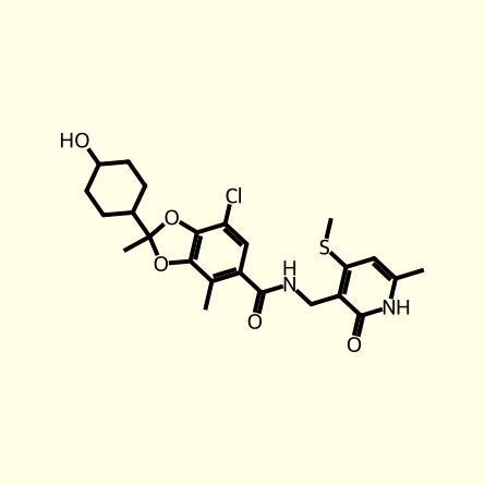 CSc1cc(C)[nH]c(=O)c1CNC(=O)c1cc(Cl)c2c(c1C)OC(C)(C1CCC(O)CC1)O2